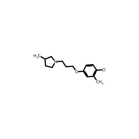 Cc1cc(OCCCN2CCC(C)C2)ccc1Cl